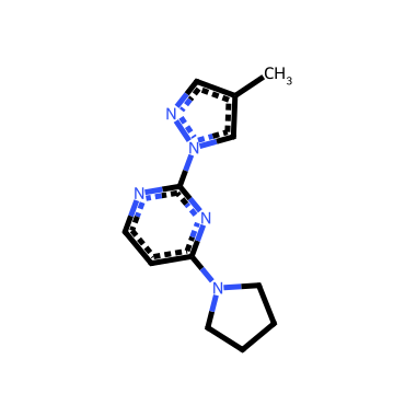 Cc1cnn(-c2nccc(N3CCCC3)n2)c1